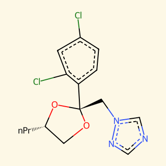 CCC[C@H]1CO[C@@](Cn2cncn2)(c2ccc(Cl)cc2Cl)O1